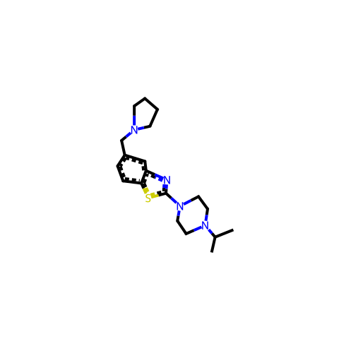 CC(C)N1CCN(c2nc3cc(CN4CCCC4)ccc3s2)CC1